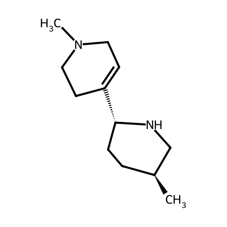 C[C@H]1CC[C@H](C2=CCN(C)CC2)NC1